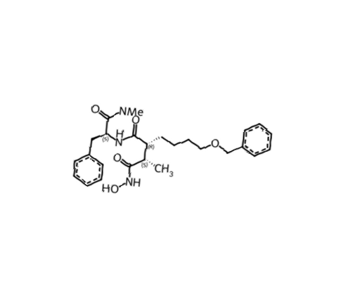 CNC(=O)[C@H](Cc1ccccc1)NC(=O)[C@H](CCCCOCc1ccccc1)[C@H](C)C(=O)NO